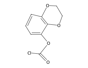 O=C(Cl)Oc1cccc2c1OCCO2